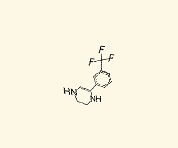 FC(F)(F)c1cccc(C2=CNCCN2)c1